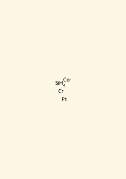 [Co].[Cr].[Pt].[SiH4]